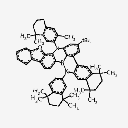 Cc1cc2c(cc1N1c3cc(C(C)(C)C)cc4c3B(c3ccc5c(oc6ccccc65)c31)N(c1ccc3c(c1)C(C)(C)CCC3(C)C)c1cc3c(cc1-4)C(C)(C)CCC3(C)C)C(C)(C)CCC2